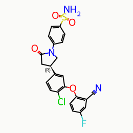 N#Cc1cc(F)ccc1Oc1cc([C@H]2CC(=O)N(c3ccc(S(N)(=O)=O)cc3)C2)ccc1Cl